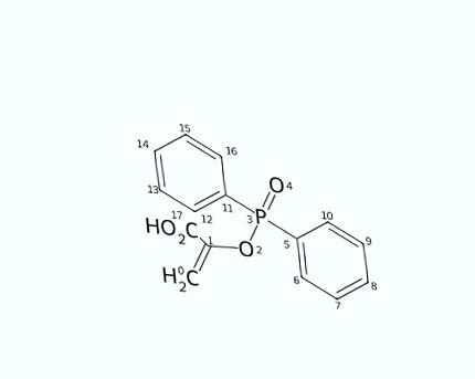 C=C(OP(=O)(c1ccccc1)c1ccccc1)C(=O)O